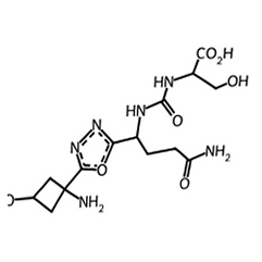 NC(=O)CCC(NC(=O)NC(CO)C(=O)O)c1nnc(C2(N)CC(O)C2)o1